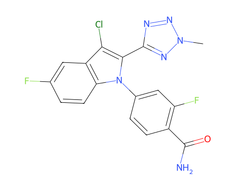 Cn1nnc(-c2c(Cl)c3cc(F)ccc3n2-c2ccc(C(N)=O)c(F)c2)n1